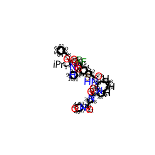 CC(C)C[C@H](NP(=O)(Oc1ccccc1)C(F)(F)c1ccc2sc(C(=O)N[C@H]3C[C@@H]4C[C@@H]4C[C@H]4CC[C@@H](C(=O)N5CC(C(=O)N6CCOCC6)C5)N4C3=O)cc2c1)C(=O)OCc1ccccc1